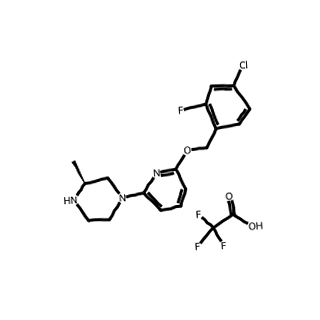 C[C@H]1CN(c2cccc(OCc3ccc(Cl)cc3F)n2)CCN1.O=C(O)C(F)(F)F